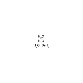 O.O.O.[BeH2]